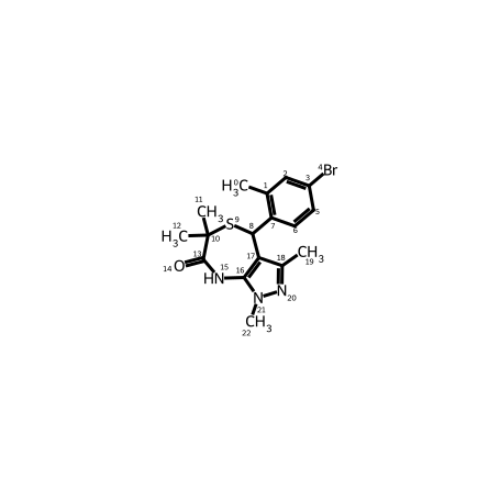 Cc1cc(Br)ccc1C1SC(C)(C)C(=O)Nc2c1c(C)nn2C